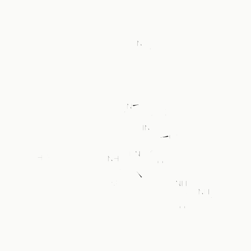 CC(C)[C@H](NC(=O)[C@@H](N)CCCCN)C(=O)N[C@@H](CCCNC(N)=O)C(=O)Nc1ccc(CO)cc1